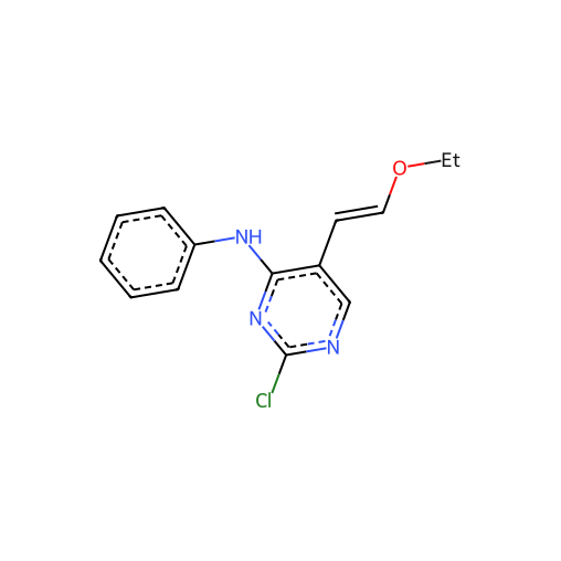 CCO/C=C/c1cnc(Cl)nc1Nc1ccccc1